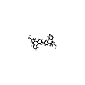 CCc1nc2c3cnncc3c3cc(-c4ccc5c(c4)c4ncccc4c4nc(C(C)C)[nH]c54)ccc3c2[nH]1